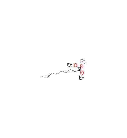 CC=CCCCCC[Si](OCC)(OCC)OCC